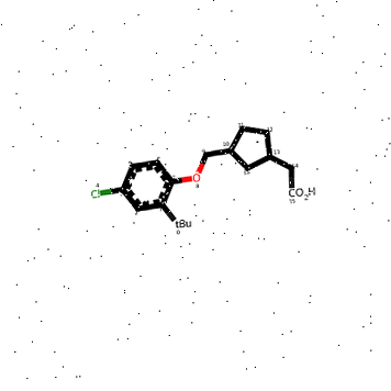 CC(C)(C)c1cc(Cl)ccc1OCC1CCC(CC(=O)O)C1